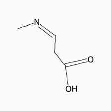 C/N=C\CC(=O)O